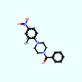 O=C(c1ccccc1)N1CCN(c2ccc([N+](=O)[O-])cc2Cl)CC1